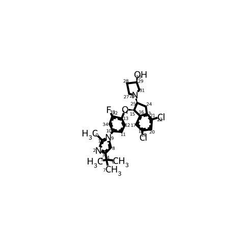 Cc1nc(C(C)(C)C)cn1-c1ccc(O[C@@H]2c3cc(Cl)cc(Cl)c3C[C@@H]2N2CC[C@@H](O)C2)c(F)c1